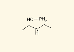 CCNCC.OP